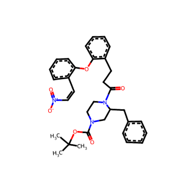 CC(C)(C)OC(=O)N1CCN(C(=O)CCc2ccccc2Oc2ccccc2C=C[N+](=O)[O-])C(Cc2ccccc2)C1